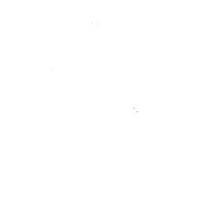 Cc1ccc(C2=C(NC3CC3)OC(c3ccccc3)C2=O)cc1C(F)(F)F